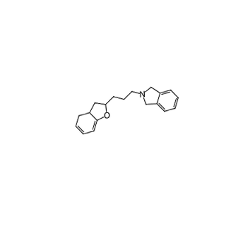 C1=CCC2CC(CCCN3Cc4ccccc4C3)OC2=C1